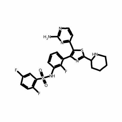 Nc1nccc(-c2sc(C3CCCCN3)nc2-c2cccc(NS(=O)(=O)c3cc(F)ccc3F)c2F)n1